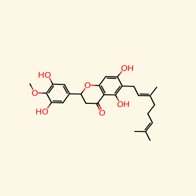 COc1c(O)cc(C2CC(=O)c3c(cc(O)c(C/C=C(\C)CCC=C(C)C)c3O)O2)cc1O